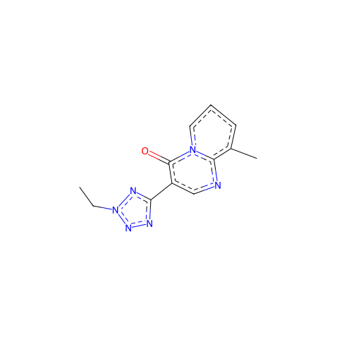 CCn1nnc(-c2cnc3c(C)cccn3c2=O)n1